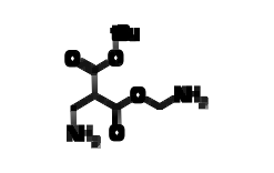 CC(C)(C)OC(=O)C(CN)C(=O)OCN